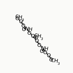 COCCOCCOCC(=O)NCCOCCOCC(COCCOCCNC(=O)COCCOCCOC)OC